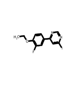 CCOc1ccc(-c2cc(I)ncn2)cc1F